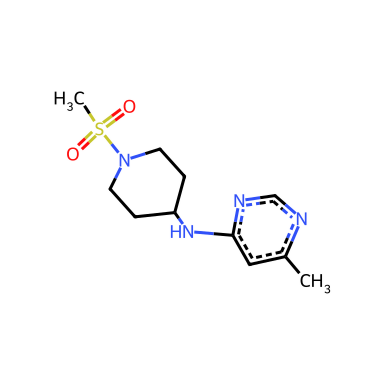 Cc1cc(NC2CCN(S(C)(=O)=O)CC2)ncn1